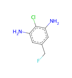 Nc1cc(CF)cc(N)c1Cl